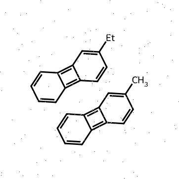 CCc1ccc2c(c1)=c1ccccc1=2.Cc1ccc2c(c1)=c1ccccc1=2